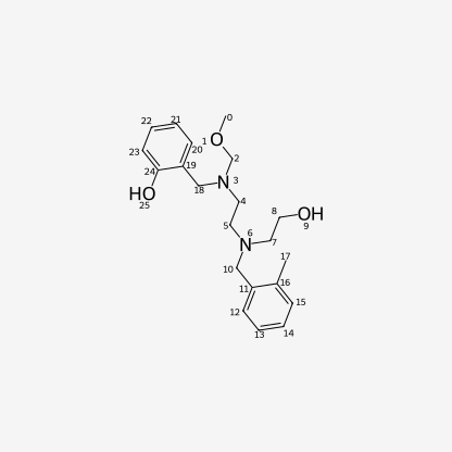 COCN(CCN(CCO)Cc1ccccc1C)Cc1ccccc1O